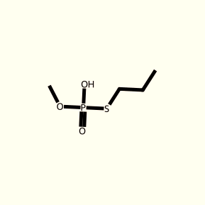 CCCSP(=O)(O)OC